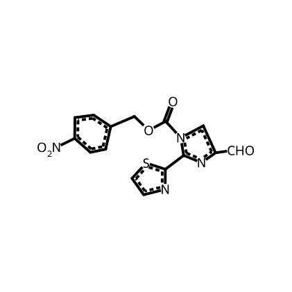 O=Cc1cn(C(=O)OCc2ccc([N+](=O)[O-])cc2)c(-c2nccs2)n1